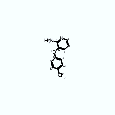 Nc1ncccc1Oc1ccc(C(F)(F)F)cc1